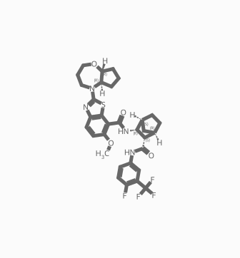 COc1ccc2nc(N3CCCO[C@@H]4CCC[C@H]43)sc2c1C(=O)N[C@@H]1[C@H]2CC[C@H](C2)[C@@H]1C(=O)Nc1ccc(F)c(C(F)(F)F)c1